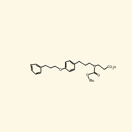 CC(C)(C)OC(=O)N(CCCc1ccc(OCCCc2ccccc2)cc1)CCC(=O)O